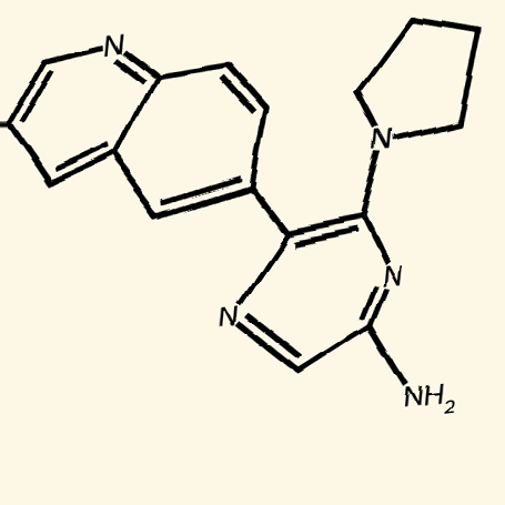 Nc1cnc(-c2ccc3ncccc3c2)c(N2CCCC2)n1